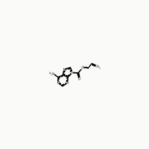 C=CCOC(=O)n1cnc2c(N)ncnc21